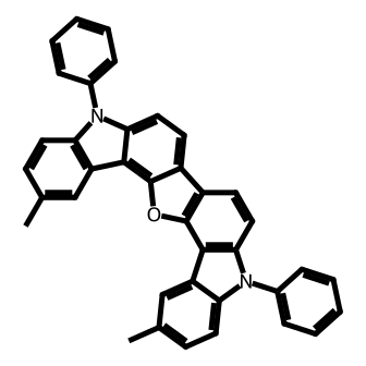 Cc1ccc2c(c1)c1c3oc4c(ccc5c4c4cc(C)ccc4n5-c4ccccc4)c3ccc1n2-c1ccccc1